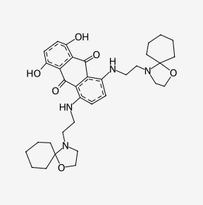 O=C1c2c(O)ccc(O)c2C(=O)c2c(NCCN3CCOC34CCCCC4)ccc(NCCN3CCOC34CCCCC4)c21